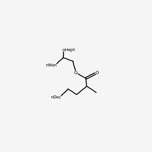 CCCCCCCCCCCCC(C)C(=O)OCC(CCCCCCC)CCCCCCCCC